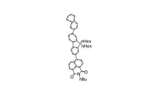 CCCCCCC1(CCCCCC)c2cc(-c3ccc4ccccc4c3)ccc2-c2ccc(-c3ccc4c5c(cccc35)C(=O)N(CCCC)C4=O)cc21